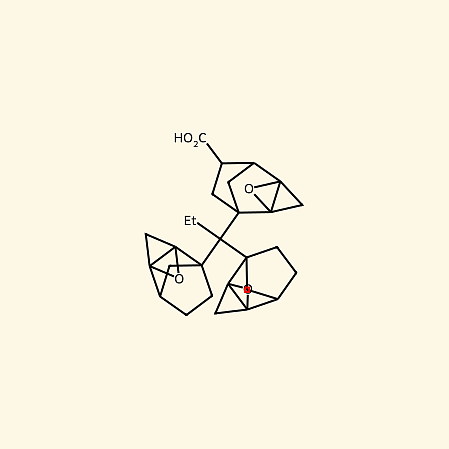 CCC(C12CCC(C1)C13CC12O3)(C12CCC(C1)C13CC12O3)C12CC(C(=O)O)C(C1)C13CC12O3